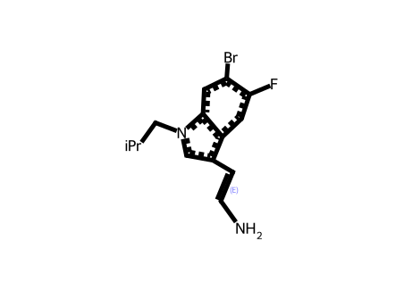 CC(C)Cn1cc(/C=C/N)c2cc(F)c(Br)cc21